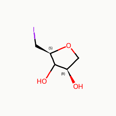 OC1[C@H](O)CO[C@@H]1CI